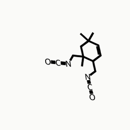 CC1(C)C=CC(CN=C=O)C(C)(CN=C=O)C1